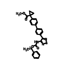 COC(=O)C1(c2ccc(-c3ccc(-c4nsnc4NC(=O)O[C@H](C)c4ccccc4)cc3)cc2)CC1